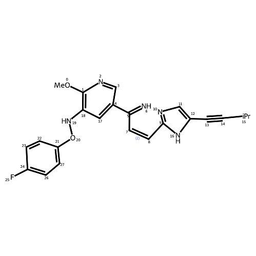 COc1ncc(C(=N)/C=C\c2ncc(C#CC(C)C)[nH]2)cc1NOc1ccc(F)cc1